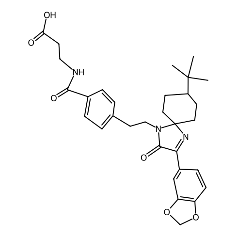 CC(C)(C)C1CCC2(CC1)N=C(c1ccc3c(c1)OCO3)C(=O)N2CCc1ccc(C(=O)NCCC(=O)O)cc1